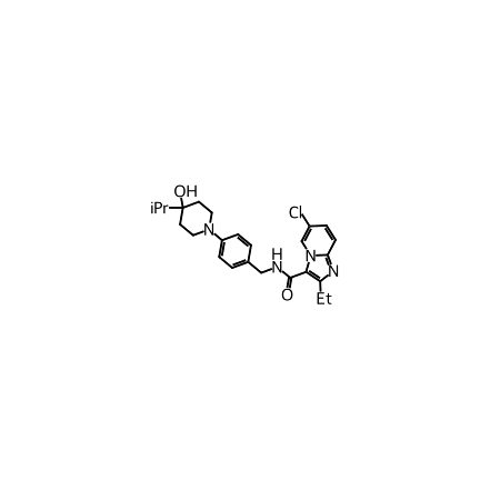 CCc1nc2ccc(Cl)cn2c1C(=O)NCc1ccc(N2CCC(O)(C(C)C)CC2)cc1